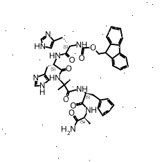 C[C@H](NC(=O)[C@H](Cc1ccccc1)NC(=O)C(C)(C)NC(=O)[C@H](Cc1c[nH]cn1)NC(=O)[C@H](Cc1c[nH]cn1)NC(=O)OCC1c2ccccc2-c2ccccc21)C(N)=O